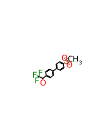 CS(=O)(=O)c1ccc(-c2ccc(C(=O)C(F)(F)F)cc2)cc1